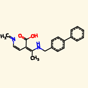 C=N/C=C\C(C(=O)O)=C(/C)NCc1ccc(-c2ccccc2)cc1